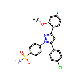 COc1cc(F)ccc1-c1cc(-c2ccc(Cl)cc2)n(-c2ccc(S(N)(=O)=O)cc2)n1